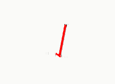 CCCCCCCCCCCC(CCCCCCCCCCC(=O)O)C(=O)NCCOCCOCCOCCOCCOCCOCCOCCOCCOCCOCCOCCOCCOCCOCCOCCOCCOCCOCCOCCOCCOCCOCCOCCN=[N+]=[N-]